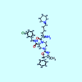 C[C@@H]1N=C(N2CCN(C(=O)[C@H](N)CCCCN3CCCCC3)[C@H](C(=O)NCc3cccc(Cl)c3)C2)O[C@H]1c1ccccc1